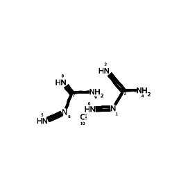 N=NC(=N)N.N=NC(=N)N.[C]